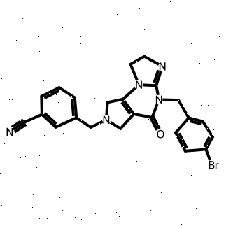 N#Cc1cccc(CN2CC3=C(C2)N2CCN=C2N(Cc2ccc(Br)cc2)C3=O)c1